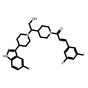 O=C(/C=C/c1cc(F)cc(F)c1)N1CCC(C(CO)N2CCC(c3c[nH]c4ccc(F)cc34)CC2)CC1